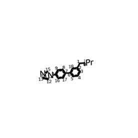 CC(C)Cc1cccc(-c2ccc(-n3ccnc3)cc2)c1